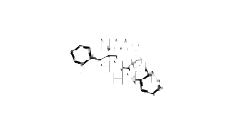 CN[C@H](CNC(=O)Nc1cccnc1Cl)Cc1ccccc1